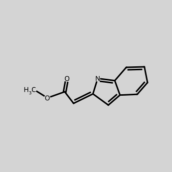 COC(=O)C=C1C=c2ccccc2=N1